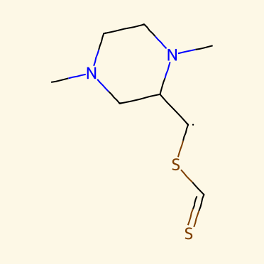 CN1CCN(C)C([CH]SC=S)C1